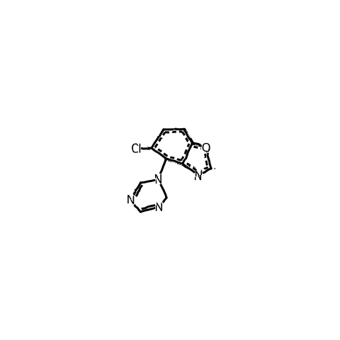 Clc1ccc2o[c]nc2c1N1C=NC=NC1